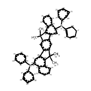 CC1(C)c2cc3c(cc2-c2cc(N(C4=CC=CCC4)c4ccccc4)c4ccccc4c21)C(C)(C)c1c-3cc(N(c2ccccc2)c2ccccc2)c2ccccc12